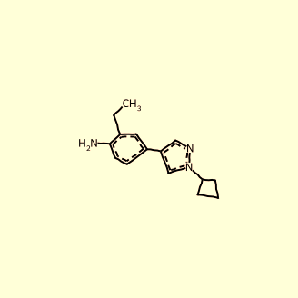 CCc1cc(-c2cnn(C3CCC3)c2)ccc1N